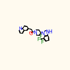 O=C(Cc1ccc2ncccc2c1)N1CCC(N2CNc3cccc(C(F)(F)F)c32)CC1